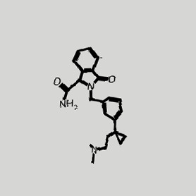 CN(C)CCC1(c2cccc(CN3C(=O)c4[c]cccc4C3C(N)=O)c2)CC1